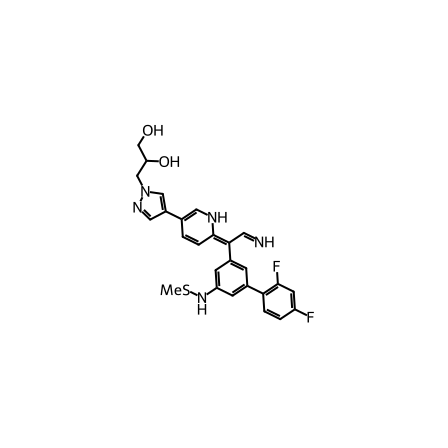 CSNc1cc(/C(C=N)=C2\C=CC(c3cnn(CC(O)CO)c3)=CN2)cc(-c2ccc(F)cc2F)c1